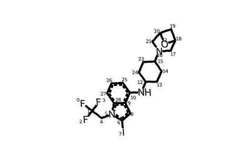 FC(F)(F)Cn1c(I)cc2c(NC3CCC(N4CC5CC(C4)O5)CC3)cccc21